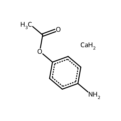 CC(=O)Oc1ccc(N)cc1.[CaH2]